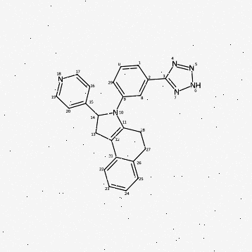 c1cc(-c2nn[nH]n2)cc(N2C3=C(CC2c2ccncc2)c2ccccc2CC3)c1